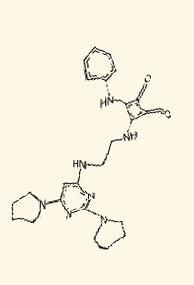 O=c1c(NCCNc2cc(N3CCCC3)nc(N3CCCC3)n2)c(Nc2ccccc2)c1=O